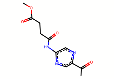 COC(=O)CCC(=O)Nc1cnc(C(C)=O)cn1